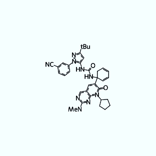 CNc1ncc2cc(C3(NC(=O)Nc4cc(C(C)(C)C)nn4-c4cccc(C#N)c4)C=CC=CC3)c(=O)n(C3CCCC3)c2n1